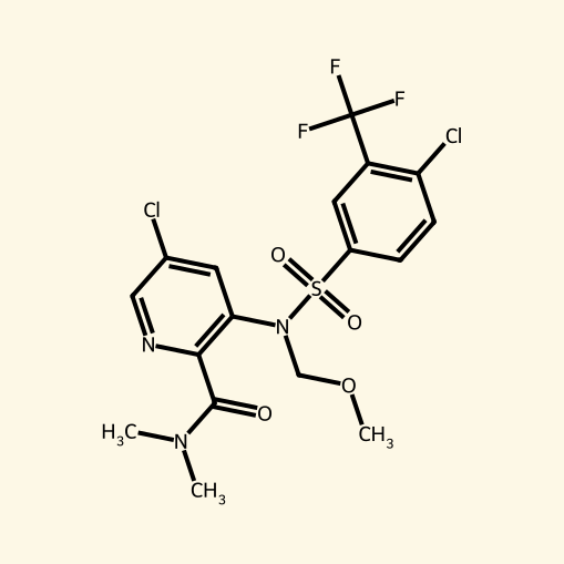 COCN(c1cc(Cl)cnc1C(=O)N(C)C)S(=O)(=O)c1ccc(Cl)c(C(F)(F)F)c1